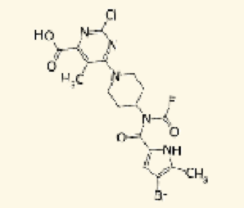 Cc1[nH]c(C(=O)N(C(=O)F)C2CCN(c3nc(Cl)nc(C(=O)O)c3C)CC2)cc1Br